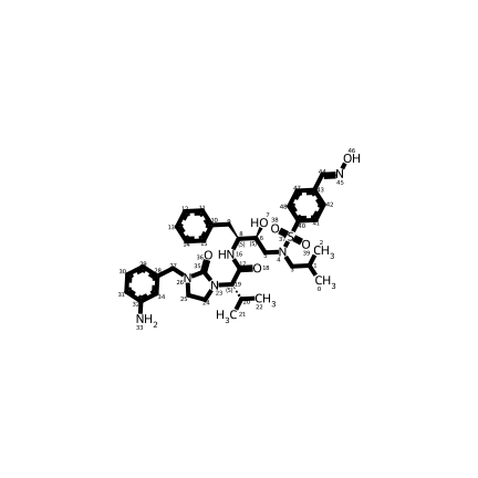 CC(C)CN(C[C@H](O)[C@H](Cc1ccccc1)NC(=O)[C@H](C(C)C)N1CCN(Cc2cccc(N)c2)C1=O)S(=O)(=O)c1ccc(C=NO)cc1